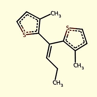 CCC=C(c1sccc1C)c1sccc1C